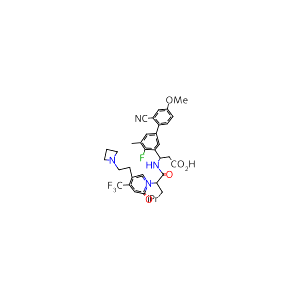 COc1ccc(-c2cc(C)c(F)c(C(CC(=O)O)NC(=O)C(CC(C)C)n3cc(CCN4CCC4)c(C(F)(F)F)cc3=O)c2)c(C#N)c1